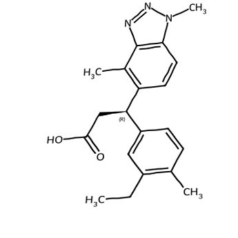 CCc1cc([C@@H](CC(=O)O)c2ccc3c(nnn3C)c2C)ccc1C